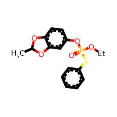 CCOP(=O)(Oc1ccc2c(c1)OC(C)O2)Sc1ccccc1